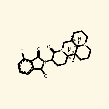 O=C1c2c(F)cccc2C(O)N1C1CC[C@@H]2[C@H]3CCCN4CCC[C@@H](CN2C1=O)[C@@H]34